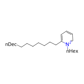 CCCCCCCCCCCCCCCCCc1cccc[n+]1CCCCCC